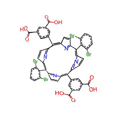 O=C(O)c1cc(C(=O)O)cc(C2=C3C=CC(=N3)C(c3c(Br)cccc3Br)=C3C=CC(=N3)C(c3cc(C(=O)O)cc(C(=O)O)c3)=C3C=CC(=N3)C(c3c(Br)cccc3Br)=C3C=CC2=N3)c1